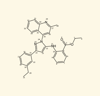 CCOC(=O)c1ccccc1Nc1cc(-c2cccc(CC)c2)nn1-c1cc(C)nc2ccccc12